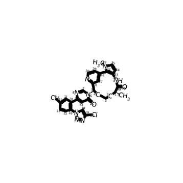 C[C@@H]1CCC[C@H](n2cnc(-c3cc(Cl)ccc3-n3cc(Cl)nn3)cc2=O)c2cc(ccn2)-c2c(ccn2C)NC1=O